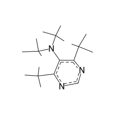 CC(C)(C)c1ncnc(C(C)(C)C)c1N(C(C)(C)C)C(C)(C)C